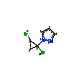 BrC1CC1(Br)n1cccn1